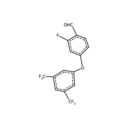 O=Cc1ccc(Oc2cc(C(F)(F)F)cc(C(F)(F)F)c2)cc1F